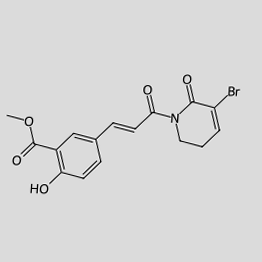 COC(=O)c1cc(C=CC(=O)N2CCC=C(Br)C2=O)ccc1O